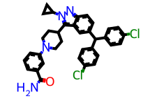 NC(=O)c1cccc(N2CCC(c3c4cc(C(c5ccc(Cl)cc5)c5ccc(Cl)cc5)ccc4nn3C3CC3)CC2)c1